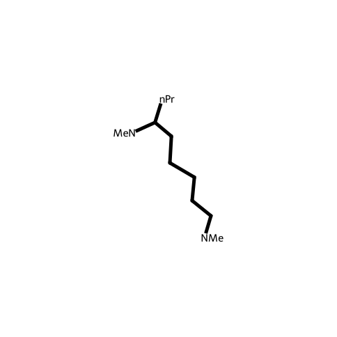 CCCC(CCCCCNC)NC